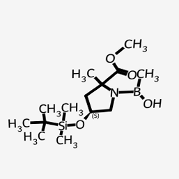 COC(=O)C1(C)C[C@H](O[Si](C)(C)C(C)(C)C)CN1B(C)O